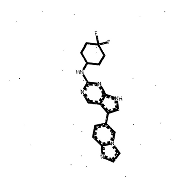 FC1(F)CCC(Nc2ncc3c(-c4ccc5nccn5c4)c[nH]c3n2)CC1